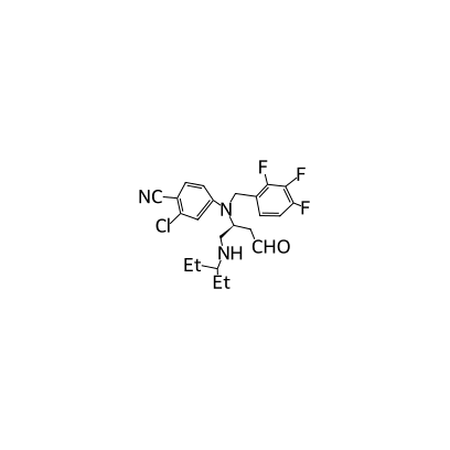 CCC(CC)NC[C@H](CC=O)N(Cc1ccc(F)c(F)c1F)c1ccc(C#N)c(Cl)c1